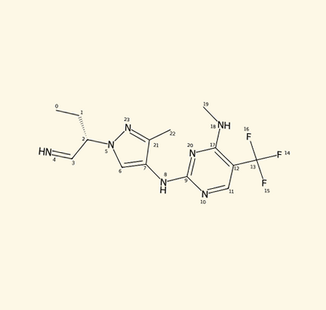 CC[C@@H](C=N)n1cc(Nc2ncc(C(F)(F)F)c(NC)n2)c(C)n1